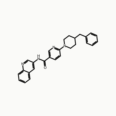 O=C(Nc1cnc2ccccc2c1)c1ccc(N2CCC(Cc3ccccc3)CC2)nc1